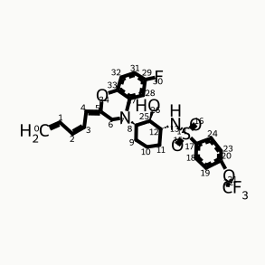 C=C/C=C\C=C1/CN([C@H]2CCC[C@@H](NS(=O)(=O)c3ccc(OC(F)(F)F)cc3)[C@@H]2O)c2cc(F)ccc2O1